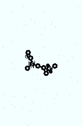 c1ccc(-c2nc(-c3ccc(-c4ccc5c(c4)-c4ccccc4C54c5ccccc5N(c5ccccc5)c5ccccc54)cc3)nc(-c3ccc4c(c3)oc3ccccc34)n2)cc1